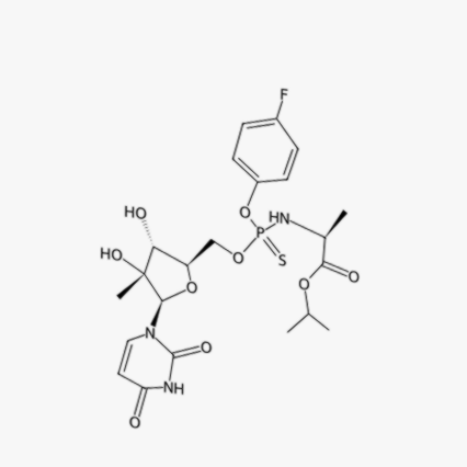 CC(C)OC(=O)[C@H](C)NP(=S)(OC[C@H]1O[C@@H](n2ccc(=O)[nH]c2=O)[C@](C)(O)[C@@H]1O)Oc1ccc(F)cc1